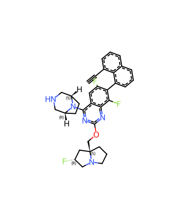 C#Cc1cccc2cccc(-c3c(F)cc4c(N5[C@@H]6CC[C@H]5CNC6)nc(OC[C@@]56CCCN5C[C@H](F)C6)nc4c3F)c12